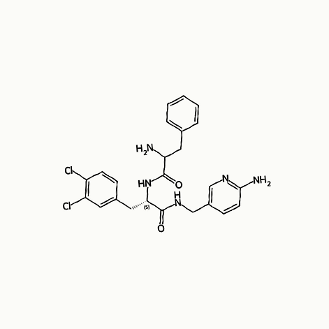 Nc1ccc(CNC(=O)[C@H](Cc2ccc(Cl)c(Cl)c2)NC(=O)C(N)Cc2ccccc2)cn1